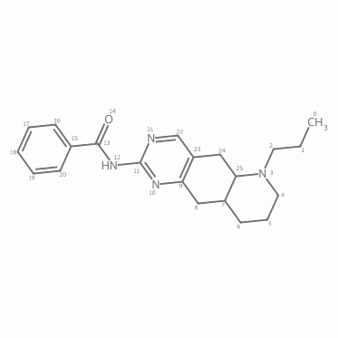 CCCN1CCCC2Cc3nc(NC(=O)c4ccccc4)ncc3CC21